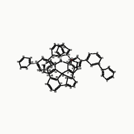 c1ccc(-c2cccc(-c3nc(-c4ccccc4)nc(-c4cccc5c4C4(c6ccccc6Oc6ccccc64)c4c(-c6nc(-c7ccccc7)nc(-c7ccccc7)n6)cccc4-5)n3)c2)cc1